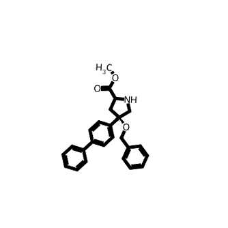 COC(=O)C1C[C@@](OCc2ccccc2)(c2ccc(-c3ccccc3)cc2)CN1